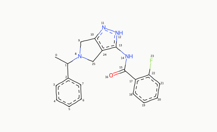 CC(c1ccccc1)N1Cc2n[nH]c(NC(=O)c3ccccc3F)c2C1